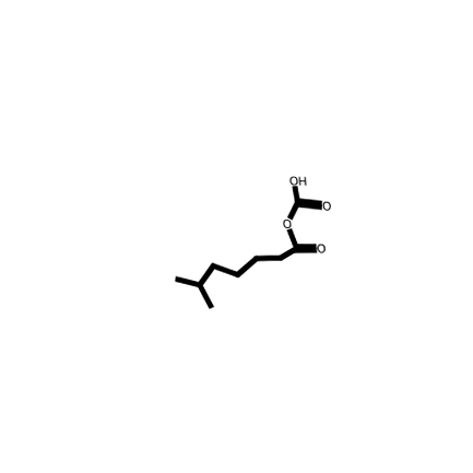 CC(C)CCCCC(=O)OC(=O)O